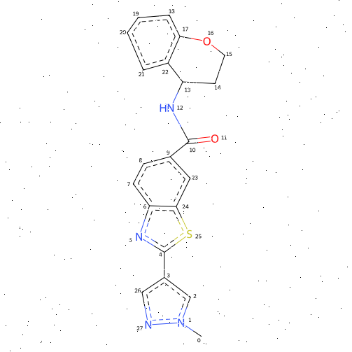 Cn1cc(-c2nc3ccc(C(=O)NC4CCOc5ccccc54)cc3s2)cn1